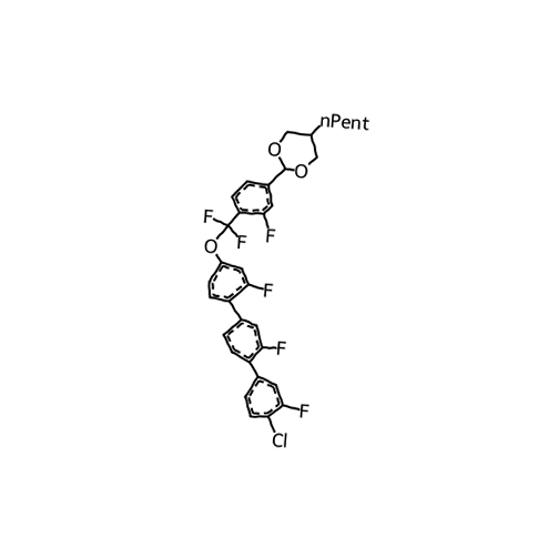 CCCCCC1COC(c2ccc(C(F)(F)Oc3ccc(-c4ccc(-c5ccc(Cl)c(F)c5)c(F)c4)c(F)c3)c(F)c2)OC1